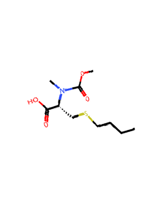 CCCCSC[C@H](C(=O)O)N(C)C(=O)OC